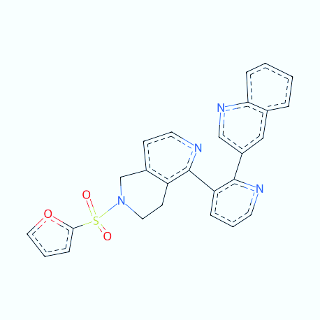 O=S(=O)(c1ccco1)N1CCc2c(ccnc2-c2cccnc2-c2cnc3ccccc3c2)C1